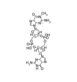 CN/C(N)=N\C1C(C=O)N=CN1[C@H]1C[C@@H]2OP(=O)(O)OC[C@H]3O[C@@H](N4C=NC5C(=O)NC(N)=NC54)C[C@@H]3OP(=O)(O)OC[C@H]2O1